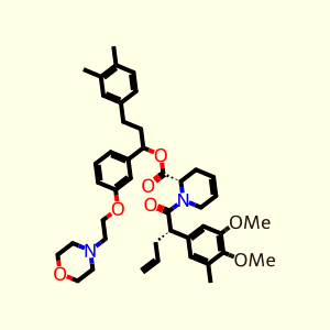 C=CC[C@H](C(=O)N1CC=CC[C@H]1C(=O)OC(CCc1ccc(C)c(C)c1)c1cccc(OCCN2CCOCC2)c1)c1cc(C)c(OC)c(OC)c1